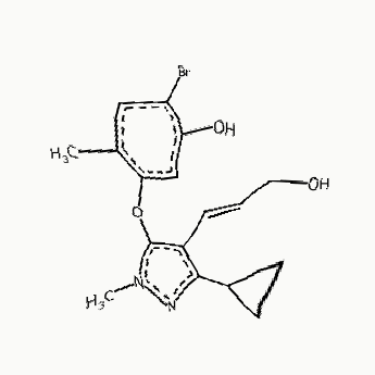 Cc1cc(Br)c(O)cc1Oc1c(/C=C/CO)c(C2CC2)nn1C